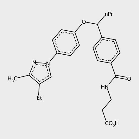 CCCC(Oc1ccc(-n2cc(CC)c(C)n2)cc1)c1ccc(C(=O)NCCC(=O)O)cc1